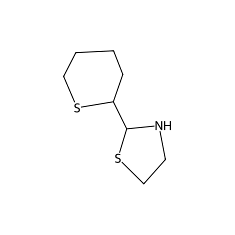 C1CCC(C2NCCS2)SC1